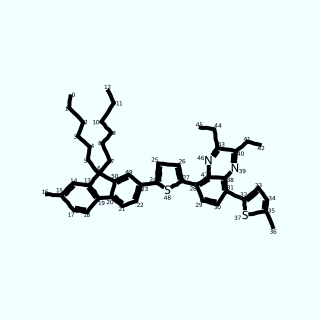 CCCCCCC1(CCCCCC)c2cc(C)ccc2-c2ccc(-c3ccc(-c4ccc(-c5ccc(C)s5)c5nc(CC)c(CC)nc45)s3)cc21